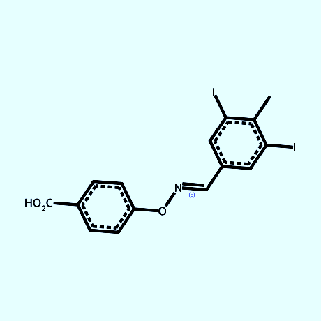 Cc1c(I)cc(/C=N/Oc2ccc(C(=O)O)cc2)cc1I